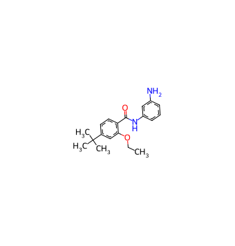 CCOc1cc(C(C)(C)C)ccc1C(=O)Nc1cccc(N)c1